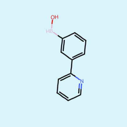 OBc1cccc(-c2ccccn2)c1